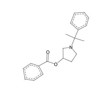 CC(C)(c1ccccc1)N1CCC(OC(=O)c2ccccc2)C1